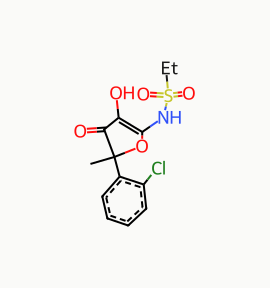 CCS(=O)(=O)NC1=C(O)C(=O)C(C)(c2ccccc2Cl)O1